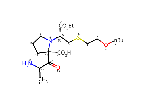 CCCCOCCSC[C@@H](C(=O)OCC)N1CCCC1(C(=O)O)C(=O)C(C)N